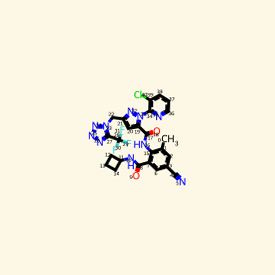 Cc1cc(C#N)cc(C(=O)NC2CCC2)c1NC(=O)c1cc(Cn2nnnc2C(F)(F)F)nn1-c1ncccc1Cl